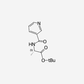 C[C@H](NC(=O)c1cccnc1)C(=O)OC(C)(C)C